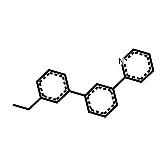 CCc1cccc(-c2cccc(-c3ccccn3)c2)c1